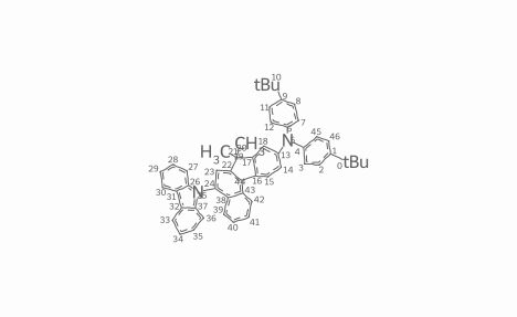 CC(C)(C)c1ccc(N(c2ccc(C(C)(C)C)cc2)c2ccc3c(c2)C(C)(C)c2cc(-n4c5ccccc5c5ccccc54)c4ccccc4c2-3)cc1